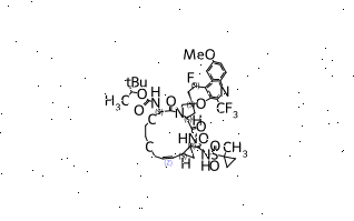 COc1ccc2nc(C(F)(F)F)c3c(c2c1)[C@H](F)C[C@]1(C[C@H]2C(=O)N[C@]4(C(=O)NS(=O)(=O)C5(C)CC5)C[C@H]4/C=C\CCCCC[C@H](NC(=O)OC(C)C(C)(C)C)C(=O)N2C1)O3